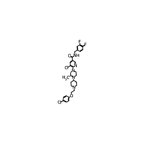 C[C@H]1CN(c2ncc(C(=O)NCc3ccc(F)c(F)c3)cc2Cl)CCN1C1CCN(CCOc2ccc(Cl)cc2)CC1